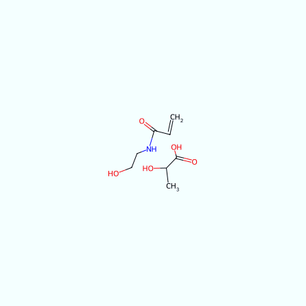 C=CC(=O)NCCO.CC(O)C(=O)O